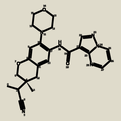 CC(C#N)[C@@]1(C)COc2cc(N3CCOCC3)c(NC(=O)c3cnn4cccnc34)cc2C1